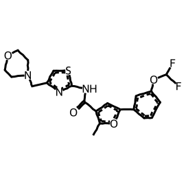 Cc1oc(-c2cccc(OC(F)F)c2)cc1C(=O)Nc1nc(CN2CCOCC2)cs1